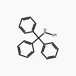 CCCNC(c1ccccc1)(c1ccccc1)c1ccccc1